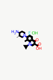 Cc1c(N2CC[C@H](N)[C@@H](C)C2)c(F)cc2c(=O)c(C(=O)O)cn(C3CC3)c12.Cl